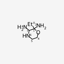 CCC1(N)OCCNC1N